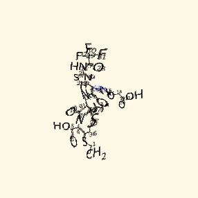 C=CSC1=C(C(=O)O)N2C(=O)C(NC(=O)/C(=N\OCC(=O)O)c3csc(NC(=O)C(F)(F)F)n3)[C@H]2SC1